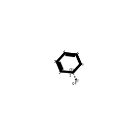 F[C@@H]1C=CC=CC1